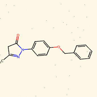 CC1=NN(c2ccc(OCc3ccccc3)cc2)C(=O)C1